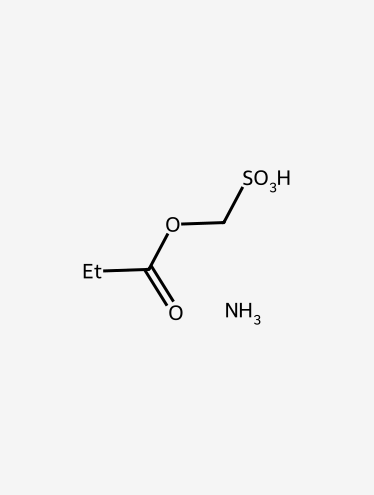 CCC(=O)OCS(=O)(=O)O.N